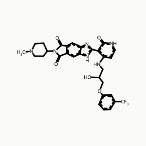 CN1CCC(N2C(=O)c3cc4nc(-c5c(NCC(O)COc6cccc(C(F)(F)F)c6)cc[nH]c5=O)[nH]c4cc3C2=O)CC1